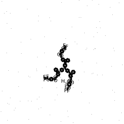 CC1(C(=O)OCc2ccc3c(c2)c2ccccc2n3-c2ccc(N(c3ccc(-n4c5ccccc5c5cc(COC(=O)c6ccc(OC(F)=C(F)F)cc6)ccc54)cc3)c3ccc(-n4c5ccccc5c5cc(COC(=O)c6ccc(OC(F)=C(F)F)cc6)ccc54)cc3)cc2)C=CC(OC(F)=C(F)F)=CC1